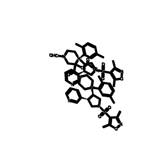 Cc1ccc(C)c([N+]2([C@H]3CN(S(=O)(=O)c4c(C)noc4C)C[C@@H]3c3cccnc3)CCN(C(=O)C3(OC(=O)C(F)(F)F)CN(C=O)CC[N@+]3(c3cc(C)ccc3C)[C@H]3CN(S(=O)(=O)c4c(C)noc4C)C[C@@H]3c3cccnc3)CC2)c1